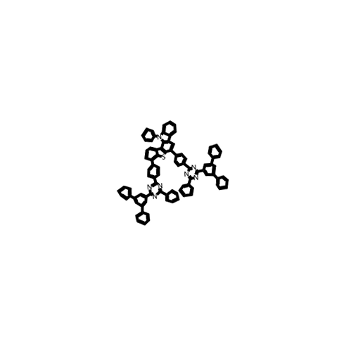 c1ccc(-c2cc(-c3ccccc3)cc(-c3nc(-c4ccccc4)nc(-c4ccc(-c5cccc6c5sc5c(-c7ccc(-c8nc(-c9ccccc9)nc(-c9cc(-c%10ccccc%10)cc(-c%10ccccc%10)c9)n8)cc7)cc7c8ccccc8n(-c8ccccc8)c7c56)cc4)n3)c2)cc1